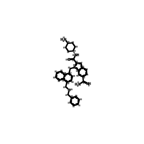 N=C(N)c1ccc2cc(C(=O)N[C@H]3CC[C@H](N)CC3)n(Cc3ccc(COCc4ccccc4)c4ccccc34)c2c1